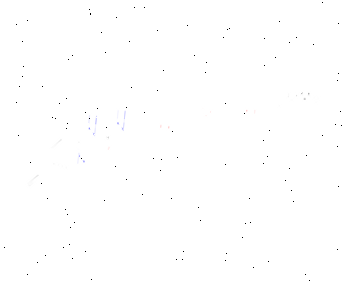 C#Cc1ccc(NC(=O)NCCOCCOCCOCCOC)nc1